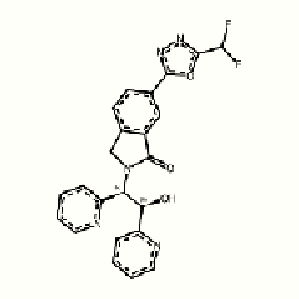 O=C1c2cc(-c3nnc(C(F)F)o3)ccc2CN1[C@H](c1ccccn1)[C@@H](O)c1ccccn1